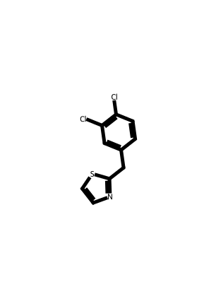 Clc1ccc(Cc2n[c]cs2)cc1Cl